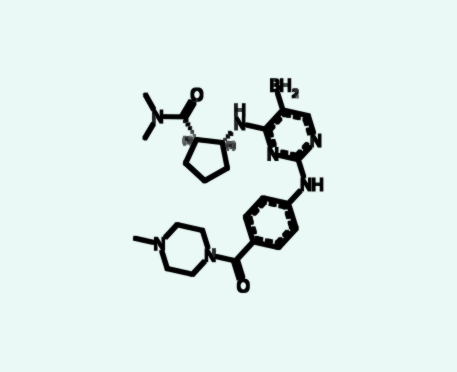 Bc1cnc(Nc2ccc(C(=O)N3CCN(C)CC3)cc2)nc1N[C@@H]1CCC[C@@H]1C(=O)N(C)C